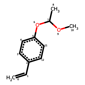 C=Cc1ccc(OC(C)OC)cc1